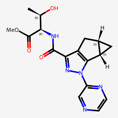 COC(=O)[C@H](NC(=O)c1nn(-c2cnccn2)c2c1C[C@@H]1C[C@H]21)[C@@H](C)O